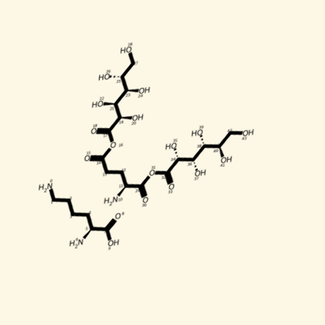 NCCCC[C@H](N)C(=O)O.N[C@@H](CCC(=O)OC(=O)[C@H](O)[C@@H](O)[C@H](O)[C@H](O)CO)C(=O)OC(=O)[C@H](O)[C@@H](O)[C@H](O)[C@H](O)CO